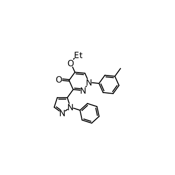 CCOc1cn(-c2cccc(C)c2)nc(-c2ccnn2-c2ccccc2)c1=O